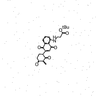 C=C1C(=O)CCC(C2=CC(=O)c3c(NCCC(=O)OC(C)(C)C)cccc3C2=O)C1=O